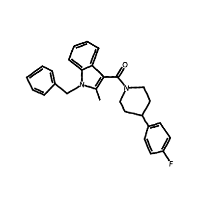 Cc1c(C(=O)N2CCC(c3ccc(F)cc3)CC2)c2ccccc2n1Cc1ccccc1